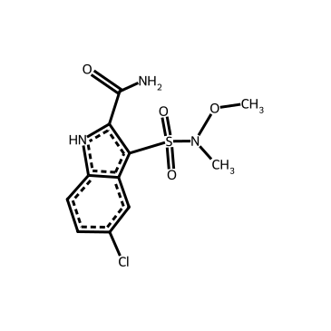 CON(C)S(=O)(=O)c1c(C(N)=O)[nH]c2ccc(Cl)cc12